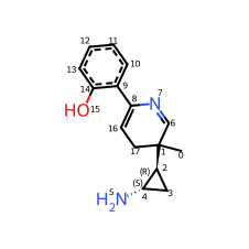 CC1([C@H]2C[C@@H]2N)C=NC(c2ccccc2O)=CC1